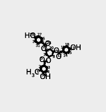 Cc1cc(C(=O)OC2CC(OC(=O)c3ccc(O)cc3)CC(OC(=O)c3ccc(O)cc3)C2)ccc1O